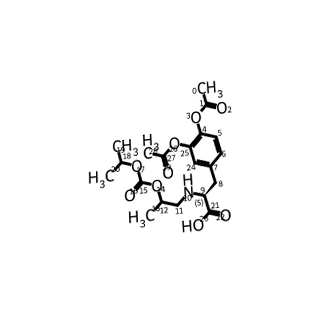 CC(=O)Oc1ccc(C[C@H](NCC(C)OC(=O)OC(C)C)C(=O)O)cc1OC(C)=O